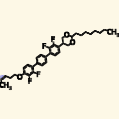 C/C=C\CCOc1ccc(-c2ccc(-c3ccc(C4COC(CCCCCCCC)OC4)c(F)c3F)cc2)c(F)c1F